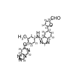 Cc1cc(Nc2ncnc3ccc(-c4ccc(C=O)o4)cc23)ccc1Oc1cc2nncn2cn1